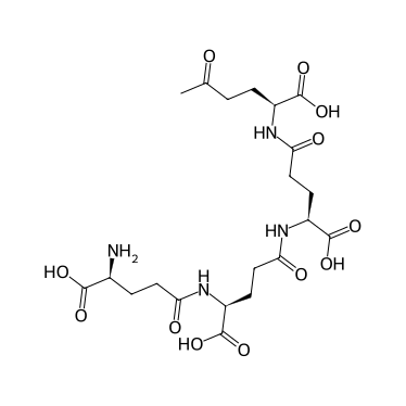 CC(=O)CC[C@H](NC(=O)CC[C@H](NC(=O)CC[C@H](NC(=O)CC[C@H](N)C(=O)O)C(=O)O)C(=O)O)C(=O)O